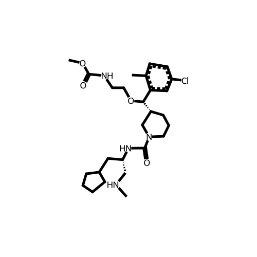 CNC[C@H](CC1CCCC1)NC(=O)N1CCC[C@@H](C(OCCNC(=O)OC)c2cc(Cl)ccc2C)C1